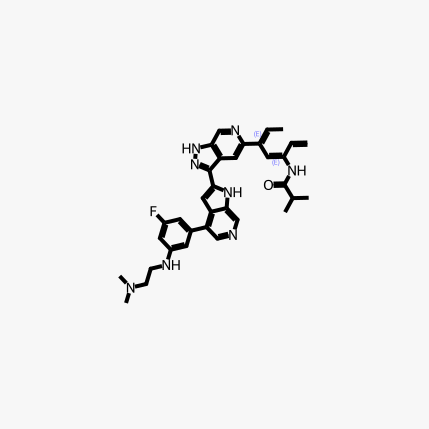 C=C/C(=C\C(=C/C)c1cc2c(-c3cc4c(-c5cc(F)cc(NCCN(C)C)c5)cncc4[nH]3)n[nH]c2cn1)NC(=O)C(C)C